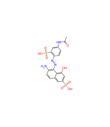 CC(=O)Nc1ccc(/N=N/c2c(N)ccc3cc(S(=O)(=O)O)cc(O)c23)c(S(=O)(=O)O)c1